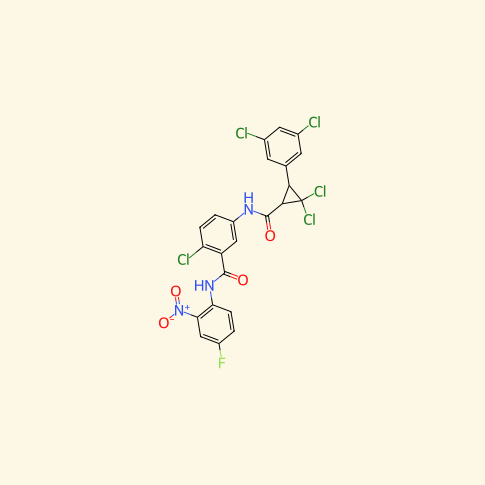 O=C(Nc1ccc(F)cc1[N+](=O)[O-])c1cc(NC(=O)C2C(c3cc(Cl)cc(Cl)c3)C2(Cl)Cl)ccc1Cl